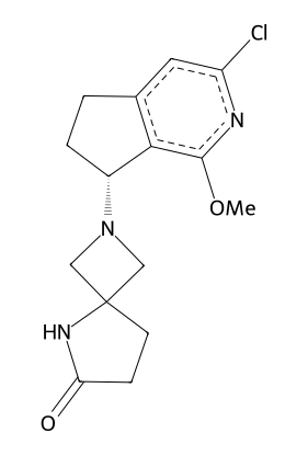 COc1nc(Cl)cc2c1[C@H](N1CC3(CCC(=O)N3)C1)CC2